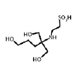 O=S(=O)(O)CCNC(CO)(CO)CCCO